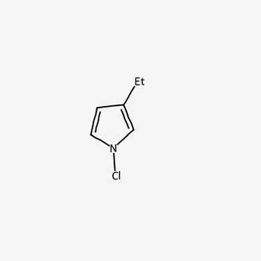 CCc1ccn(Cl)c1